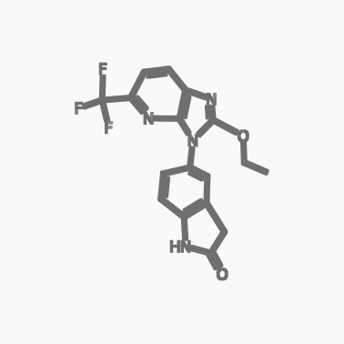 CCOc1nc2ccc(C(F)(F)F)nc2n1-c1ccc2c(c1)CC(=O)N2